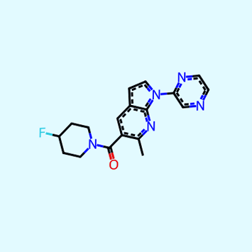 Cc1nc2c(ccn2-c2cnccn2)cc1C(=O)N1CCC(F)CC1